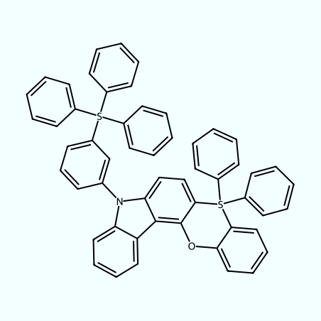 c1ccc(S(c2ccccc2)(c2ccccc2)c2cccc(-n3c4ccccc4c4c5c(ccc43)S(c3ccccc3)(c3ccccc3)c3ccccc3O5)c2)cc1